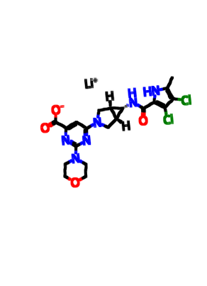 Cc1[nH]c(C(=O)N[C@@H]2[C@@H]3CN(c4cc(C(=O)[O-])nc(N5CCOCC5)n4)C[C@@H]32)c(Cl)c1Cl.[Li+]